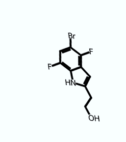 OCCc1cc2c(F)c(Br)cc(F)c2[nH]1